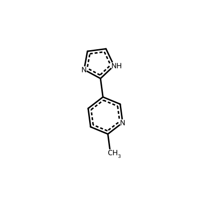 Cc1ccc(-c2ncc[nH]2)cn1